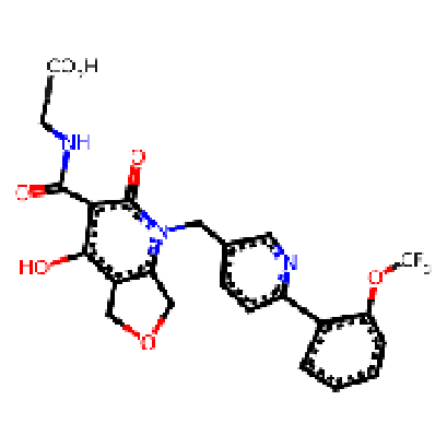 O=C(O)CNC(=O)c1c(O)c2c(n(Cc3ccc(-c4ccccc4OC(F)(F)F)nc3)c1=O)COC2